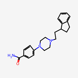 NC(=O)c1ccc(N2CCN(CCC3CCc4ccccc43)CC2)cc1